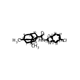 CC12CC3CC(C)(C1)CC(C(=O)Nc1nc4cc(Cl)ccc4o1)(C3)C2